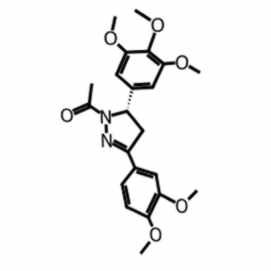 COc1ccc(C2=NN(C(C)=O)[C@H](c3cc(OC)c(OC)c(OC)c3)C2)cc1OC